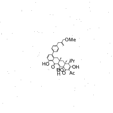 C=C(COC)Cc1ccc(-c2ccc(O)c3c2C[C@]2(C)C[C@]4(C)C(C(C)C)C(O)=C(C(C)=O)C(=O)[C@]4(O)C(O)=C2C3=O)cc1